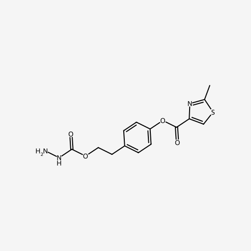 Cc1nc(C(=O)Oc2ccc(CCOC(=O)NN)cc2)cs1